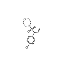 C=CC(c1ccc(Cl)nc1)S(=O)(=O)N1CCOCC1